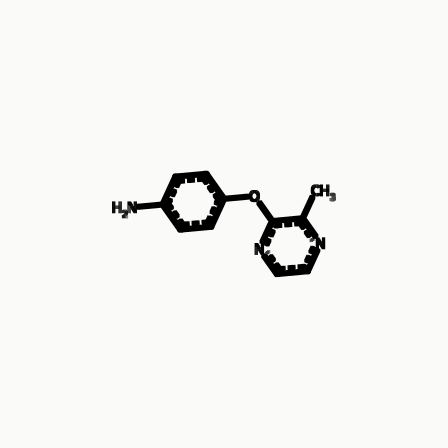 Cc1nccnc1Oc1ccc(N)cc1